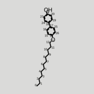 CCCCCCCCCCCCCOc1ccc(-c2ccc(O)cc2)cc1